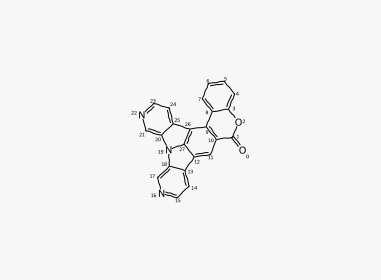 O=c1oc2ccccc2c2c1cc1c3ccncc3n3c4cnccc4c2c13